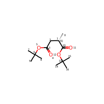 C[C@@H](CC(=O)OC(C)(C)C)C(=O)OC(C)(C)C